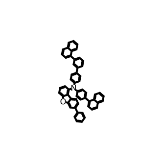 c1ccc(-c2ccc3c(c2)oc2cccc(N(c4ccc(-c5cccc(-c6cccc7ccccc67)c5)cc4)c4ccc(-c5cccc6ccccc56)cc4)c23)cc1